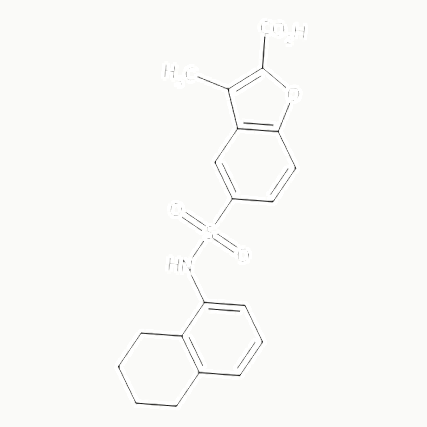 Cc1c(C(=O)O)oc2ccc(S(=O)(=O)Nc3cccc4c3CCCC4)cc12